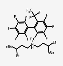 CCCCC(CC)CCNCCC(CC)CCCC.Fc1c(F)c(F)c(-c2c(C(F)(F)F)c(F)c(F)c(F)c2C(F)(F)C(F)(F)F)c(F)c1F